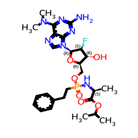 CC(C)OC(=O)[C@H](C)NP(=O)(CCc1ccccc1)OC[C@H]1O[C@@H](n2cnc3c(N(C)C)nc(N)nc32)[C@@H](F)[C@@H]1O